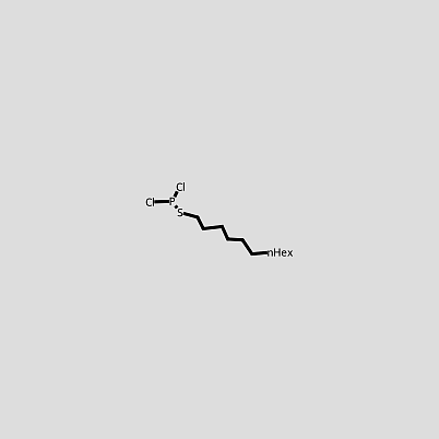 CCCCCCCCCCCCSP(Cl)Cl